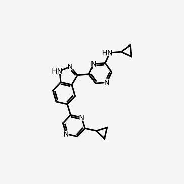 c1cc2[nH]nc(-c3cncc(NC4CC4)n3)c2cc1-c1cncc(C2CC2)n1